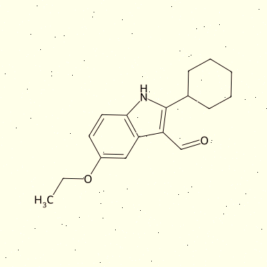 CCOc1ccc2[nH]c(C3CCCCC3)c(C=O)c2c1